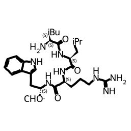 CC[C@H](C)[C@H](N)C(=O)N[C@@H](CC(C)C)C(=O)N[C@@H](CCCNC(=N)N)C(=O)N[C@H]([C]=O)Cc1c[nH]c2ccccc12